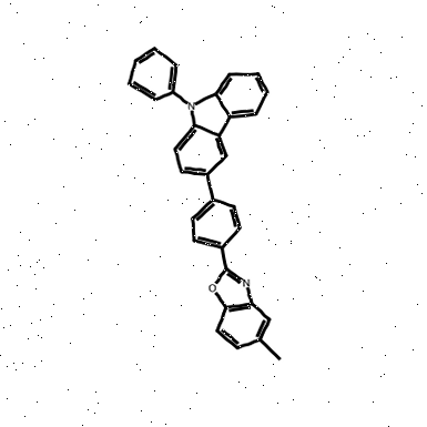 Cc1ccc2oc(-c3ccc(-c4ccc5c(c4)c4ccccc4n5-c4ccccc4)cc3)nc2c1